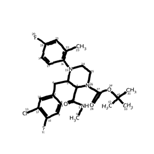 CNC(=O)C1C(Cc2ccc(F)c(Cl)c2)N(c2ccc(F)cc2C)CCN1C(=O)OC(C)(C)C